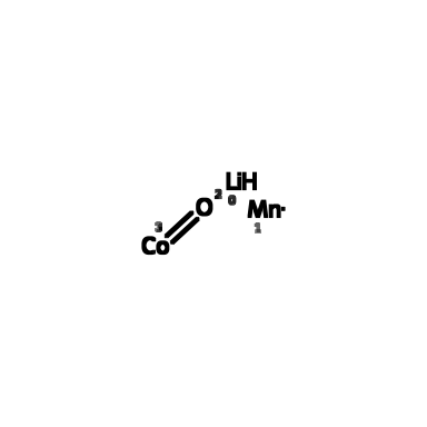 [LiH].[Mn].[O]=[Co]